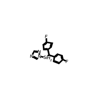 Fc1ccc(C([SiH2]n2cncn2)c2ccc(F)cc2)cc1